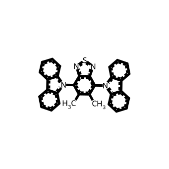 Cc1c(C)c(-n2c3ccccc3c3ccccc32)c2nsnc2c1-n1c2ccccc2c2ccccc21